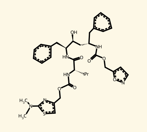 CC(C)[C@H](NC(=O)OCc1csc(N(C)C)n1)C(=O)N[C@@H](Cc1ccccc1)[C@@H](O)C[C@H](Cc1ccccc1)NC(=O)OCc1ccno1